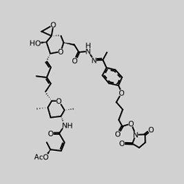 CC(=O)O[C@@H](C)/C=C\C(=O)N[C@@H]1C[C@H](C)[C@H](C/C=C(C)/C=C/[C@H]2O[C@H](CC(=O)N/N=C(\C)c3ccc(OCCCC(=O)ON4C(=O)CCC4=O)cc3)C[C@@]3(CO3)[C@@H]2O)O[C@@H]1C